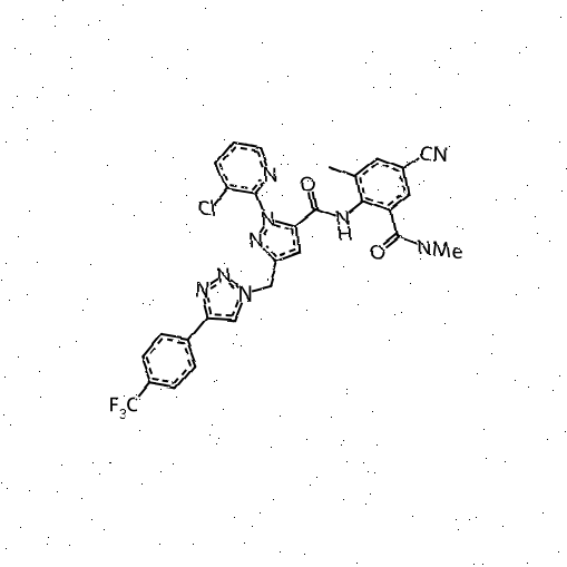 CNC(=O)c1cc(C#N)cc(C)c1NC(=O)c1cc(Cn2cc(-c3ccc(C(F)(F)F)cc3)nn2)nn1-c1ncccc1Cl